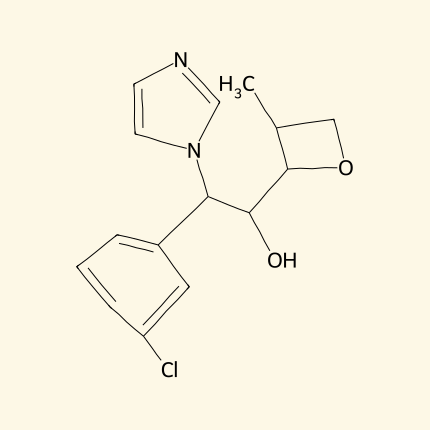 CC1COC1C(O)C(c1cccc(Cl)c1)n1ccnc1